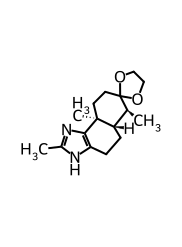 Cc1nc2c([nH]1)CC[C@H]1[C@H](C)C3(CC[C@]21C)OCCO3